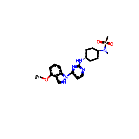 CC(C)Oc1cccc2c1cnn2-c1ccnc(N[C@H]2CC[C@H](N(C)S(C)(=O)=O)CC2)n1